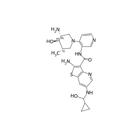 C[C@H]1CN(c2ccncc2NC(=O)c2c(N)sc3cc(NC(O)C4CC4)cnc23)C[C@@H](N)[C@@H]1O